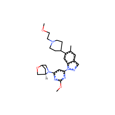 COCCN1CCC(c2cc3c(cnn3-c3cc(N4CC5C[C@@H]4CO5)nc(OC)n3)cc2C)CC1